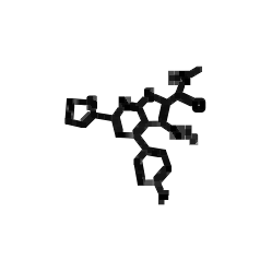 CNC(=O)c1sc2nc(-c3cccs3)cc(-c3ccc(F)cc3)c2c1N